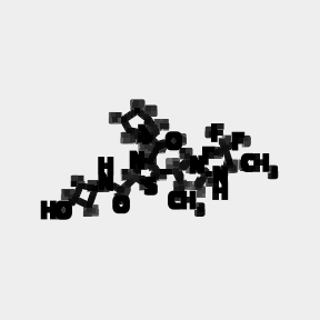 Cc1cc(N[C@@H](C)C(F)(F)F)ncc1-c1sc(C(=O)N[C@H]2C[C@H](O)C2)nc1C(=O)N1C2CCC1CC2